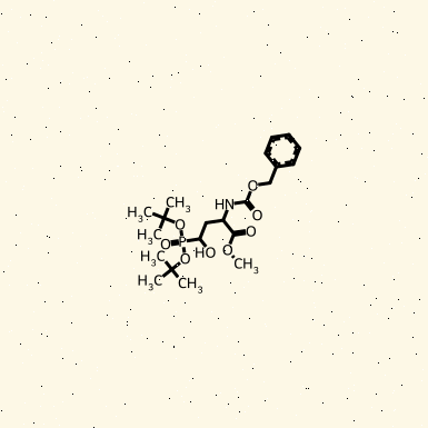 COC(=O)C(CC(O)P(=O)(OC(C)(C)C)OC(C)(C)C)NC(=O)OCc1ccccc1